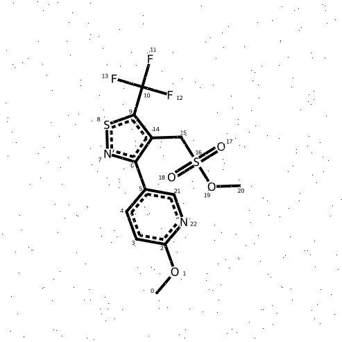 COc1ccc(-c2nsc(C(F)(F)F)c2CS(=O)(=O)OC)cn1